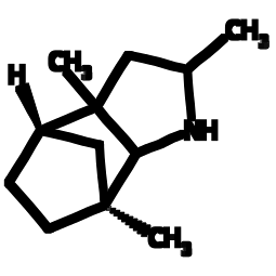 CC1CC2(C)C(N1)[C@@]1(C)CC[C@H]2C1